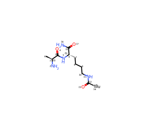 C[C@H](N)C(=O)N[C@@H](CCCCNC(=O)C(C)(C)C)C(N)=O